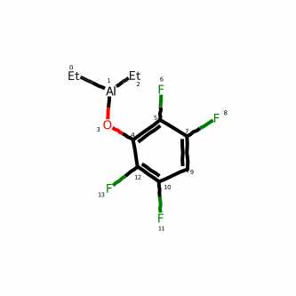 C[CH2][Al]([CH2]C)[O]c1c(F)c(F)[c]c(F)c1F